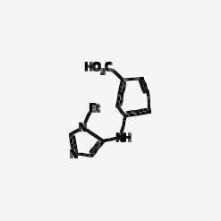 CCn1cncc1Nc1cccc(C(=O)O)c1